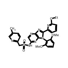 CCOc1cccc(-c2nc3ncc(NS(=O)(=O)Cc4ccc(C)cn4)nc3n2-c2c(OC)cccc2OC)n1